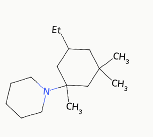 CCC1CC(C)(C)CC(C)(N2CCCCC2)C1